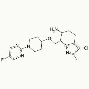 Cc1nn2c(c1Cl)CCC(N)C2COC1CCN(c2ncc(F)cn2)CC1